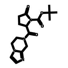 CC(C)(C)OC(=O)N1C(=O)CCC1C(=O)N1CCn2ccnc2C1